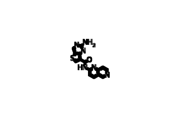 Nc1ncc2scc(C(=O)Nc3ccc4cnccc4n3)c2n1